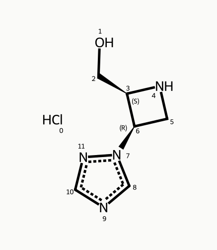 Cl.OC[C@H]1NC[C@H]1n1cncn1